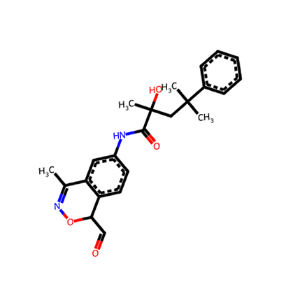 CC1=NOC(C=O)c2ccc(NC(=O)C(C)(O)CC(C)(C)c3ccccc3)cc21